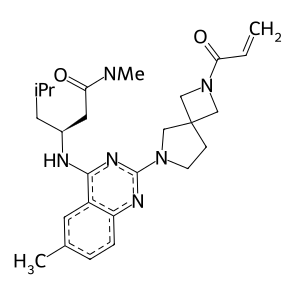 C=CC(=O)N1CC2(CCN(c3nc(N[C@H](CC(=O)NC)CC(C)C)c4cc(C)ccc4n3)C2)C1